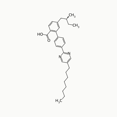 CCCCCCCCc1cnc(-c2ccc(-c3cc(C[C@@H](C)CC)ccc3C(=O)O)cc2)nc1